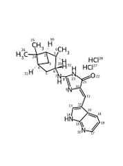 C[C@@H]1[C@H]2C[C@@H](C[C@H]1NC1=N/C(=C\c3c[nH]c4ncccc34)C(=O)N1)C2(C)C.Cl.Cl